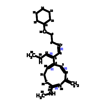 C=C1\C=C/C(C(/C=N\CCOC2CCCCC2)=C\NC)=C\CS/C(NC)=N\1